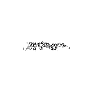 C=CC(=O)Oc1ccc(C(=O)Oc2ccc(C(=O)O[C@@H]3CO[C@H]4[C@@H]3OC[C@H]4OC(=O)c3ccc(OC(=O)c4cc(C)c(OC(=O)C=C)cc4C)cc3OC)c(OC)c2)cc1